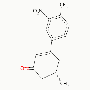 C[C@@H]1CC(=O)C=C(c2ccc(C(F)(F)F)c([N+](=O)[O-])c2)C1